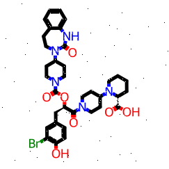 O=C(O)[C@H]1CCCCN1C1CCN(C(=O)[C@@H](Cc2ccc(O)c(Br)c2)OC(=O)N2CCC(N3CCc4ccccc4NC3=O)CC2)CC1